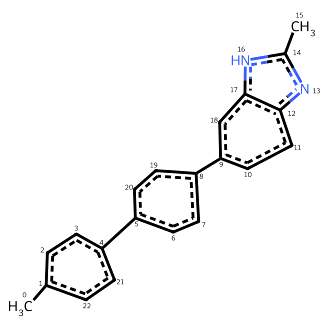 Cc1ccc(-c2ccc(-c3ccc4nc(C)[nH]c4c3)cc2)cc1